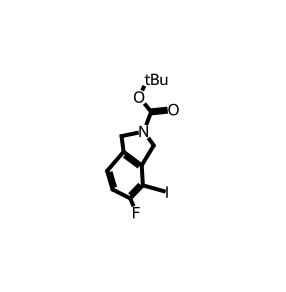 CC(C)(C)OC(=O)N1Cc2ccc(F)c(I)c2C1